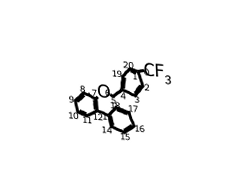 FC(F)(F)c1ccc(COc2[c]cccc2-c2ccccc2)cc1